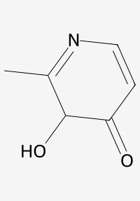 CC1=NC=CC(=O)C1O